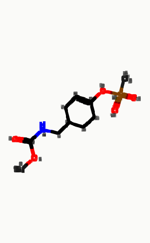 CC(C)(C)OC(=O)NCC1CC=C(OS(=O)(=O)C(F)(F)F)CC1